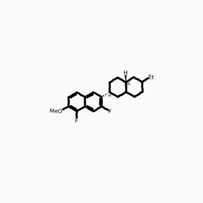 CCC1CCC2C[C@H](c3cc4ccc(OC)c(F)c4cc3F)CC[C@@H]2C1